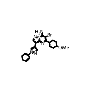 COC1CCC(c2nc3c(-c4cnn(C5=CCCC=C5)c4)cnn3c(N)c2Br)CC1